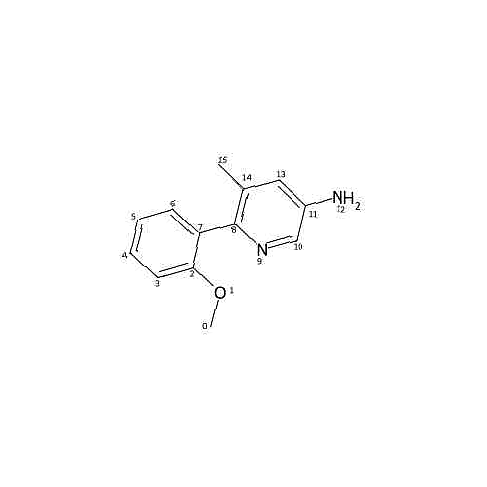 COc1ccccc1-c1ncc(N)cc1C